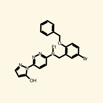 CCN(Cc1cc(Br)ccc1OCc1ccccc1)c1ccc(-n2nccc2O)nn1